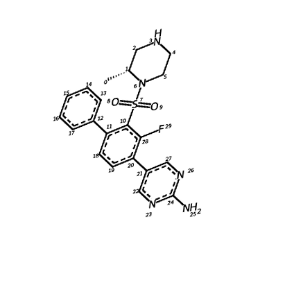 C[C@@H]1CNCCN1S(=O)(=O)c1c(-c2ccccc2)ccc(-c2cnc(N)nc2)c1F